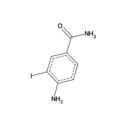 NC(=O)c1ccc(N)c(I)c1